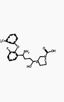 Cc1cccc(Oc2c(F)cccc2C(N)CCC(O)[C@@H]2CCCN(C(=O)O)C2)c1